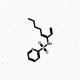 C=CC(=CCCCC)NS(=O)(=O)c1ccccn1